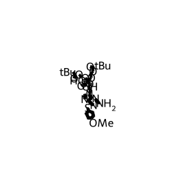 COc1ccc(Sc2nc(N)nc3c2ncn3CCOC(OCOC(=O)C(C)(C)C)(OCOC(=O)C(C)(C)C)P(=O)(O)O)cc1